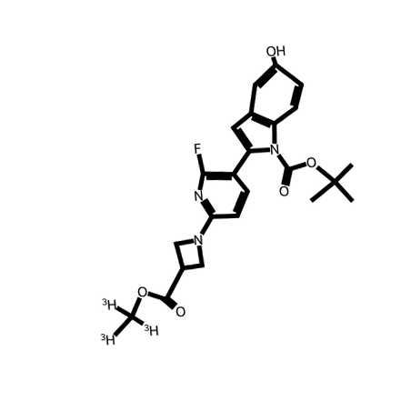 [3H]C([3H])([3H])OC(=O)C1CN(c2ccc(-c3cc4cc(O)ccc4n3C(=O)OC(C)(C)C)c(F)n2)C1